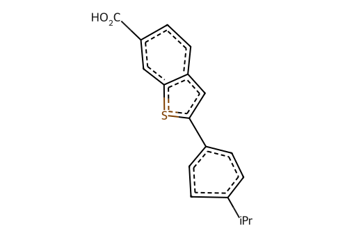 CC(C)c1ccc(-c2cc3ccc(C(=O)O)cc3s2)cc1